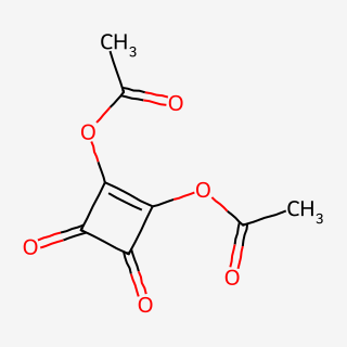 CC(=O)Oc1c(OC(C)=O)c(=O)c1=O